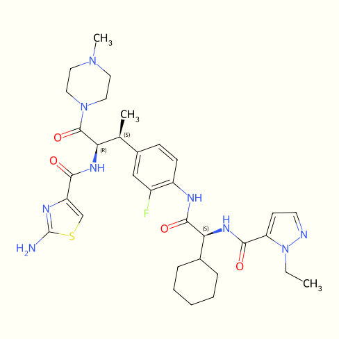 CCn1nccc1C(=O)N[C@H](C(=O)Nc1ccc([C@H](C)[C@@H](NC(=O)c2csc(N)n2)C(=O)N2CCN(C)CC2)cc1F)C1CCCCC1